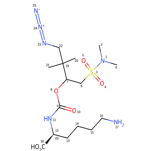 CN(C)S(=O)(=O)CC(OC(=O)N[C@@H](CCCCN)C(=O)O)C(C)(C)CN=[N+]=[N-]